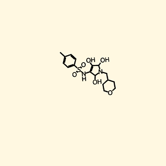 Cc1ccc(S(=O)(=O)NC2=C(O)C(O)N(CC3CCOCC3)C2O)cc1